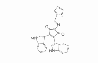 O=C1C(c2c[nH]c3ccccc23)=C(c2c[nH]c3ccccc23)C(=O)N1/N=C/c1cccs1